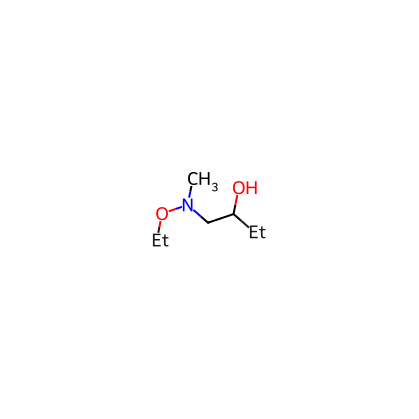 CCON(C)CC(O)CC